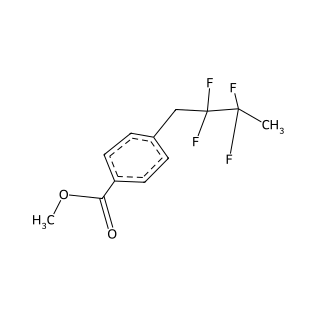 COC(=O)c1ccc(CC(F)(F)C(C)(F)F)cc1